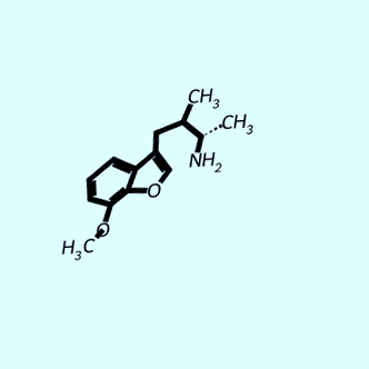 COc1cccc2c(CC(C)[C@H](C)N)coc12